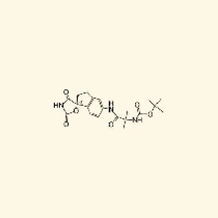 CC(C)(C)OC(=O)NC(C)(C)C(=O)Nc1ccc2c(c1)CC[C@]21OC(=O)NC1=O